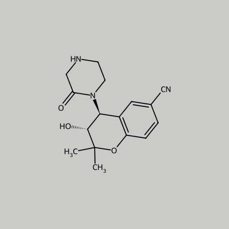 CC1(C)Oc2ccc(C#N)cc2[C@H](N2CCNCC2=O)[C@H]1O